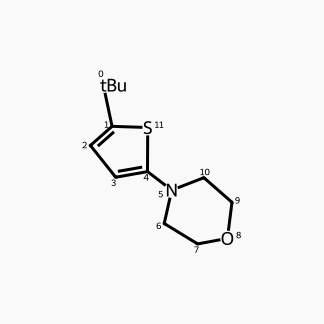 CC(C)(C)c1ccc(N2CCOCC2)s1